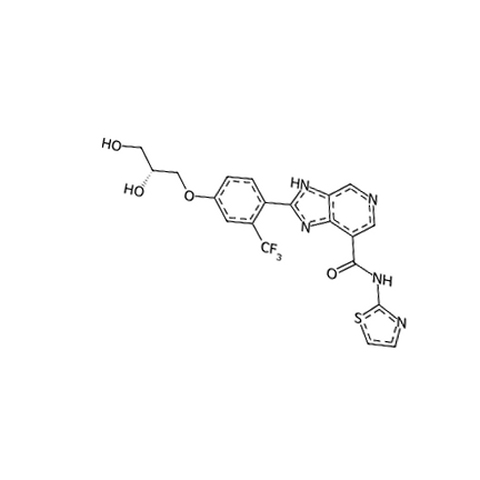 O=C(Nc1nccs1)c1cncc2[nH]c(-c3ccc(OC[C@H](O)CO)cc3C(F)(F)F)nc12